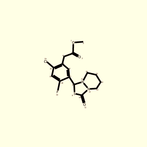 COC(=O)Cc1cc(C2SC(=O)N3CCCCN23)c(F)cc1Cl